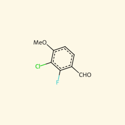 COc1ccc(C=O)c(F)c1Cl